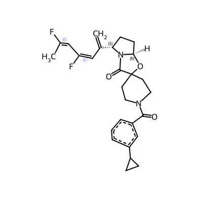 C=C(/C=C(F)\C=C(/C)F)[C@@H]1CC[C@H]2OC3(CCN(C(=O)c4cccc(C5CC5)c4)CC3)C(=O)N21